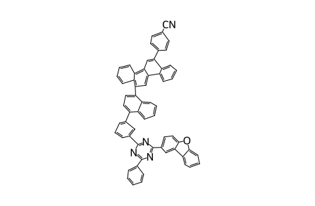 N#Cc1ccc(-c2cc3c4ccccc4c(-c4ccc(-c5cccc(-c6nc(-c7ccccc7)nc(-c7ccc8oc9ccccc9c8c7)n6)c5)c5ccccc45)cc3c3ccccc23)cc1